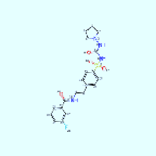 O=C(NN1CCCC1)NS(=O)(=O)c1ccc(CCNC(=O)c2cccc(F)c2)cc1